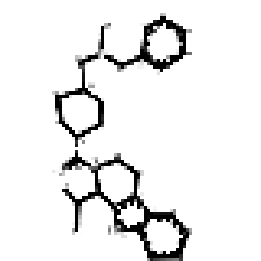 CC(C)C1c2[nH]c3ccccc3c2CCN1C(=O)[C@H]1CC[C@H](CN(C)Cc2ccccc2)CC1